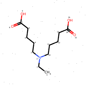 CCN(CCCCC(=O)O)CCCCC(=O)O